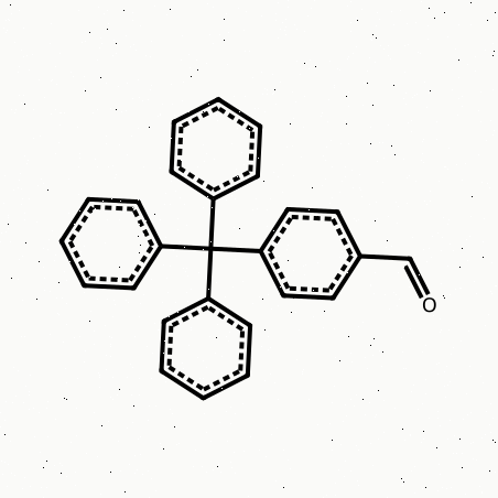 O=Cc1ccc(C(c2ccccc2)(c2ccccc2)c2ccccc2)cc1